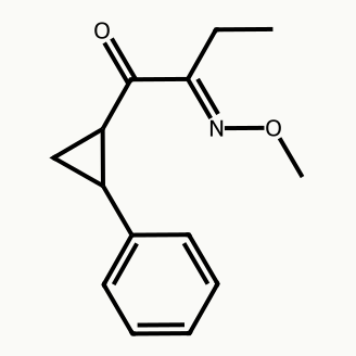 CCC(=NOC)C(=O)C1CC1c1ccccc1